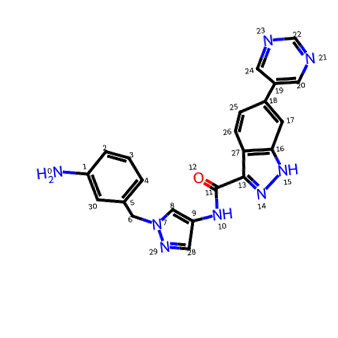 Nc1cccc(Cn2cc(NC(=O)c3n[nH]c4cc(-c5cncnc5)ccc34)cn2)c1